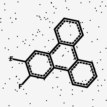 Fc1[c]c2c3ccccc3c3ccccc3c2cc1F